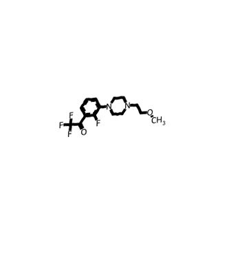 COCCN1CCN(c2cccc(C(=O)C(F)(F)F)c2F)CC1